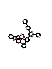 c1ccc(-c2nc(-c3ccc(-c4cccnc4)nc3)cc(-c3ccc4c(c3)C3(c5ccccc5Sc5cc6c(cc53)oc3ccccc36)c3ccccc3-c3ccccc3-4)n2)cc1